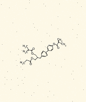 C=C(C)C(=O)OCC(COC(=O)CC)Cc1ccc(-c2ccc(OC(=O)C(=C)C)cc2)cc1